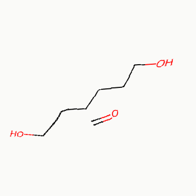 C=O.OCCCCCCO